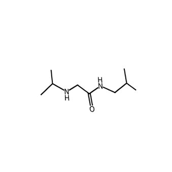 CC(C)CNC(=O)CNC(C)C